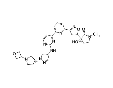 CN1CC[C@@](O)(c2cc(-c3cccc(-c4ccnc(Nc5cnn([C@@H]6CCN(C7COC7)C6)c5)n4)n3)no2)C1=O